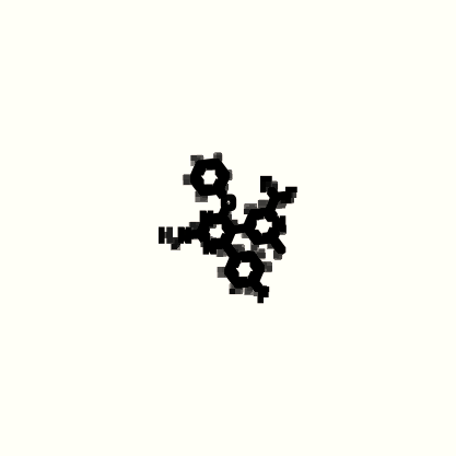 Cc1cc(-c2c(Oc3ccccc3)nc(N)nc2-c2ccc(F)cc2)cc(C(F)F)n1